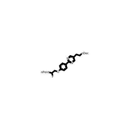 CCCCCCCCCCCCc1cnc(-c2ccc(OCC(F)CCCCC)cc2)nc1